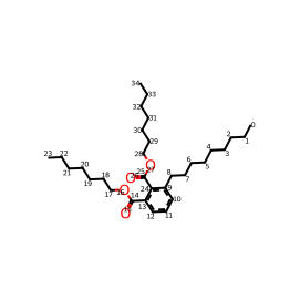 CCCCCCCCCc1cccc(C(=O)OCCCCCCC)c1C(=O)OCCCCCCC